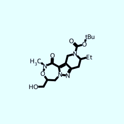 CCC1Cc2nn3c(c2CN1C(=O)OC(C)(C)C)C(=O)N(C)OC(CO)C3